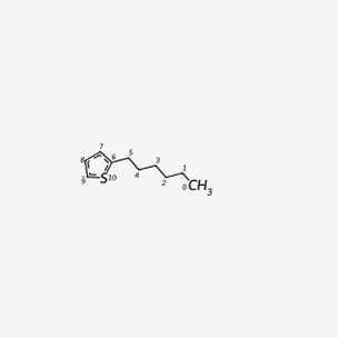 CCCCCCc1cc[c]s1